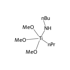 CCCC[NH][Ti]([CH2]CC)([O]C)([O]C)[O]C